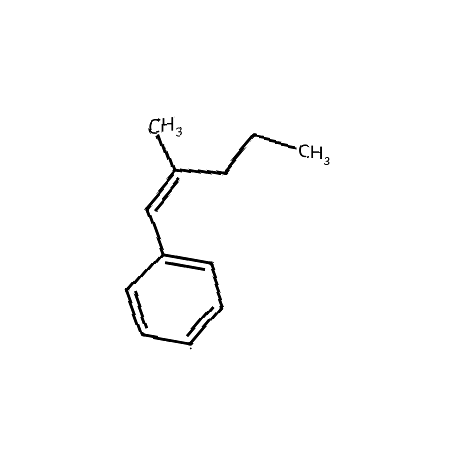 CCCC(C)=Cc1cc[c]cc1